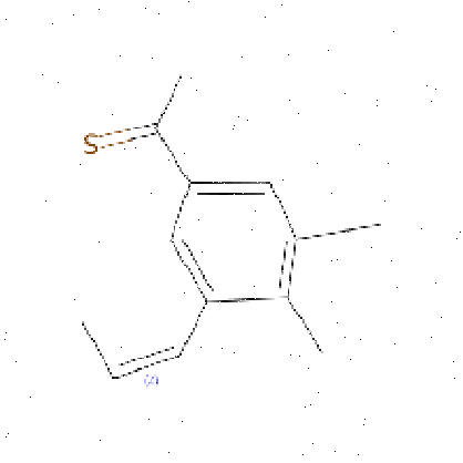 C/C=C\c1cc(C(C)=S)cc(C)c1C